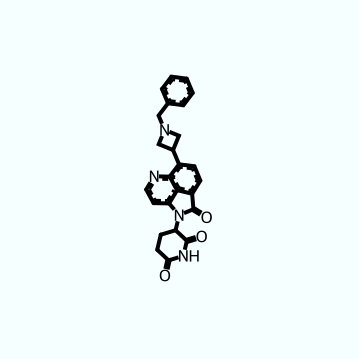 O=C1CCC(N2C(=O)c3ccc(C4CN(Cc5ccccc5)C4)c4nccc2c34)C(=O)N1